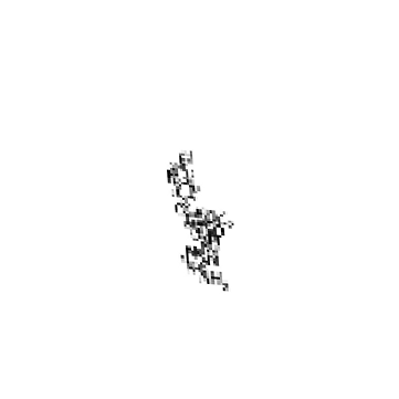 CC1(C)O[C@H]2[C@H](n3cnc4c(N)ncnc43)O[C@]3(C[C@H](Oc4ccc5cc(Cl)cnc5c4)C3)[C@H]2O1